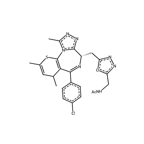 CC(=O)NCc1nnc(C[C@@H]2N=C(c3ccc(Cl)cc3)C3=C(SC(C)=CC3C)n3c(C)nnc32)o1